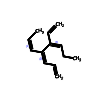 C=C/C=C(/C=C\C)C(\C=C)=C/CC